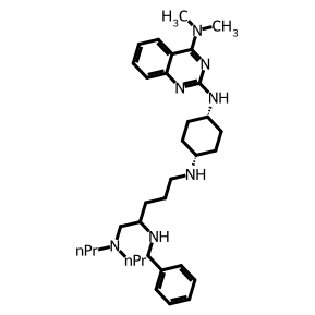 CCCN(CCC)CC(CCCN[C@H]1CC[C@@H](Nc2nc(N(C)C)c3ccccc3n2)CC1)NCc1ccccc1